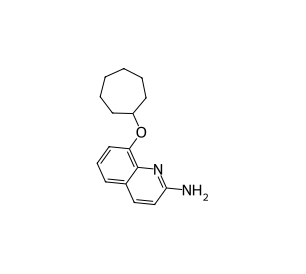 Nc1ccc2cccc(OC3CCCCCC3)c2n1